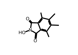 Cc1c(C)c(C)c2c(c1C)C(=O)N(O)C2=O